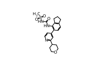 CS(=O)(=O)NC(=O)Nc1c(-c2ccnc(C3CCOCC3)c2)ccc2c1CCC2